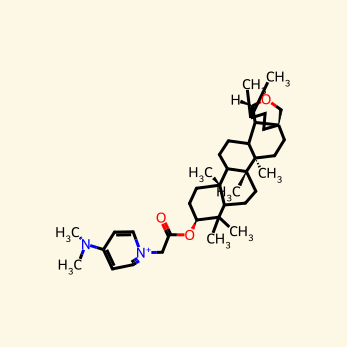 CN(C)c1cc[n+](CC(=O)O[C@H]2CC[C@@]3(C)C(CC[C@]4(C)C3CCC3C5[C@H]6OC[C@@]5(CCC6(C)C)CC[C@]34C)C2(C)C)cc1